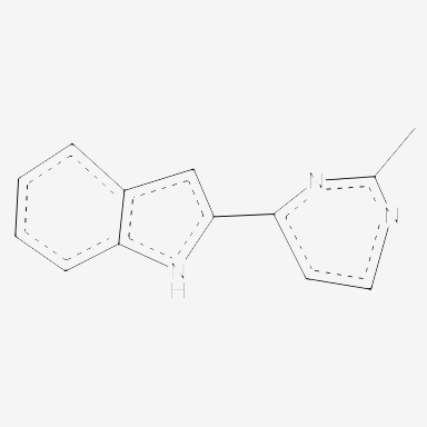 Cc1nccc(-c2cc3c[c]ccc3[nH]2)n1